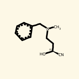 CN(CC[C@H](O)C#N)Cc1ccccc1